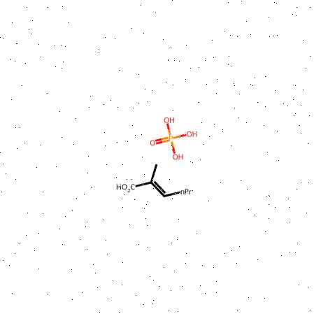 CCCC=C(C)C(=O)O.O=P(O)(O)O